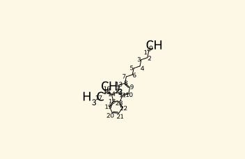 C#CCCCCCCc1ccc2c(c1)C(=C(C)C)c1ccccc1-2